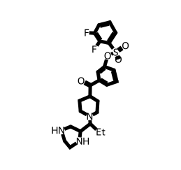 CCC(C1CNCCN1)N1CCC(C(=O)c2cccc(OS(=O)(=O)c3cccc(F)c3F)c2)CC1